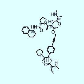 C=C([C@@H](NC(=O)[C@H](C)NC)[C@@H](C)OCC#Cc1ccc([C@H](NC(=O)[C@H](CC)NC)C(=O)N2CCCC2)cc1)N1CCC[C@H]1C(=O)N[C@@H]1CCCc2ccccc21